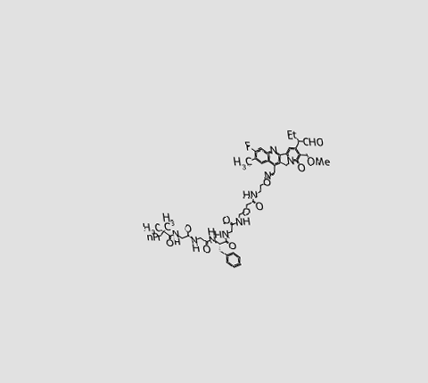 CCCC(C)(C)C(=O)NCC(=O)NCC(=O)N[C@@H](Cc1ccccc1)C(=O)NCC(=O)NCOCC(=O)NCCO/N=C/c1c2c(nc3cc(F)c(C)cc13)-c1cc(C(C=O)CC)c(COC)c(=O)n1C2